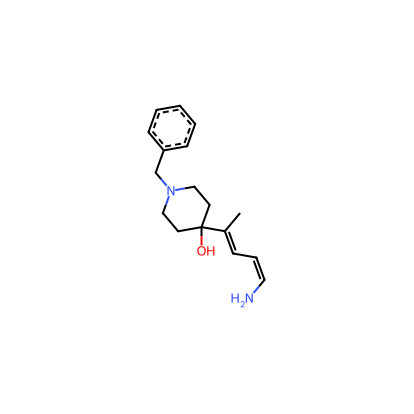 C/C(=C\C=C/N)C1(O)CCN(Cc2ccccc2)CC1